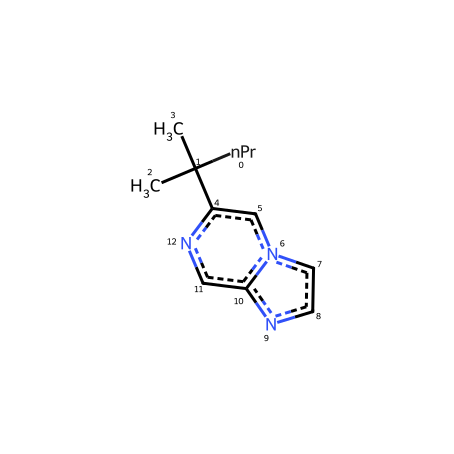 CCCC(C)(C)c1cn2ccnc2cn1